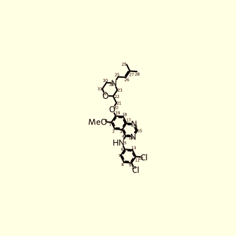 COc1cc2c(Nc3ccc(Cl)c(Cl)c3)ncnc2cc1OCC1CN(CC=C(C)C)CCO1